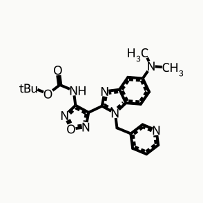 CN(C)c1ccc2c(c1)nc(-c1nonc1NC(=O)OC(C)(C)C)n2Cc1cccnc1